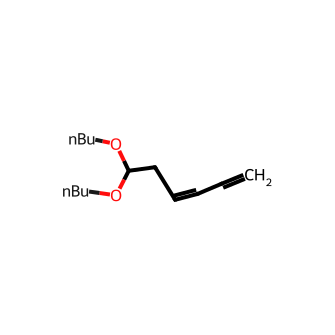 C=C/C=C\CC(OCCCC)OCCCC